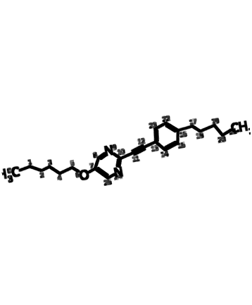 CCCCCCOc1cnc(C#Cc2ccc(CCCCC)cc2)nc1